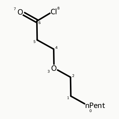 CCCCCCCOCCC(=O)Cl